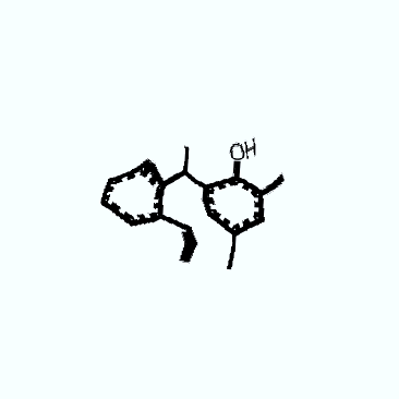 C=Cc1ccccc1C(C)c1cc(C)cc(C)c1O